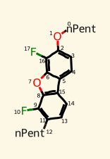 CCCCCOc1ccc2c(oc3c(F)c(CCCCC)ccc32)c1F